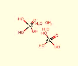 O.O.O.O=[As](O)(O)O.O=[As](O)(O)O